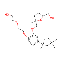 CC(C)(C)CC(C)(C)c1ccc(OCCOCCO)c(OCC2(C)CCC(CO)O2)c1